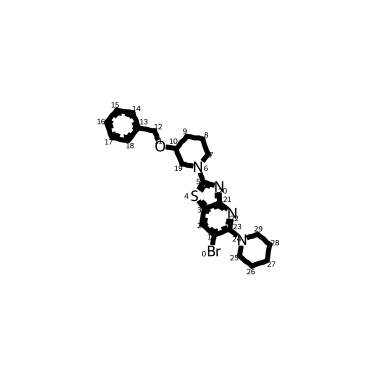 Brc1cc2sc(N3CCCC(OCc4ccccc4)C3)nc2nc1N1CCCCC1